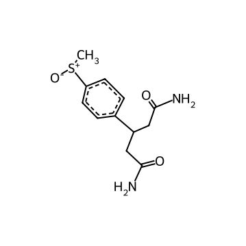 C[S+]([O-])c1ccc(C(CC(N)=O)CC(N)=O)cc1